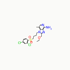 CCOCc1nc2c(N)ncc(C)c2n1CCCCS(=O)(=O)c1ccc(Cl)cc1Cl